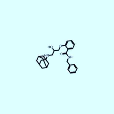 O=C(NCc1ccccc1)c1ccccc1OCC(O)CNC12CC3CC(CC(C3)C1)C2